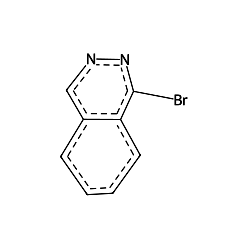 Brc1nncc2ccccc12